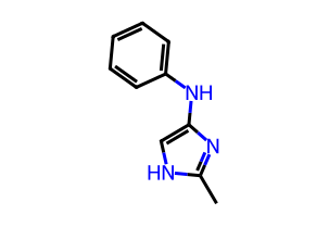 Cc1nc(Nc2ccccc2)c[nH]1